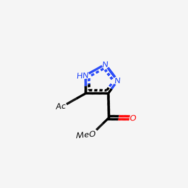 COC(=O)c1nn[nH]c1C(C)=O